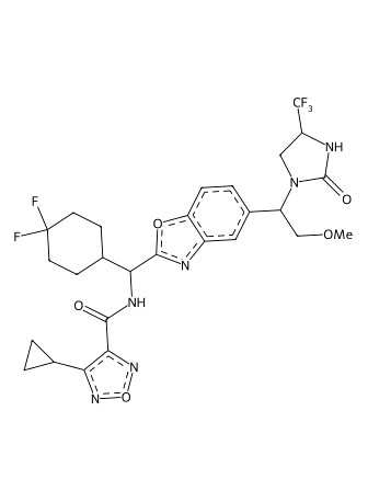 COCC(c1ccc2oc(C(NC(=O)c3nonc3C3CC3)C3CCC(F)(F)CC3)nc2c1)N1CC(C(F)(F)F)NC1=O